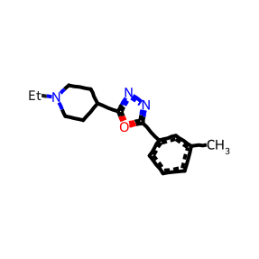 CCN1CCC(c2nnc(-c3cccc(C)c3)o2)CC1